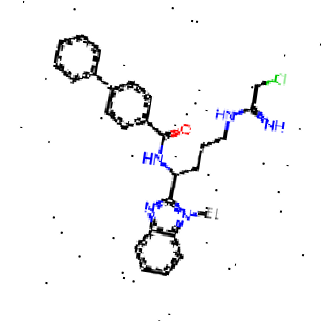 CCn1c([C@H](CCCNC(=N)CCl)NC(=O)c2ccc(-c3ccccc3)cc2)nc2ccccc21